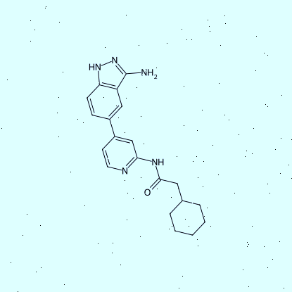 Nc1n[nH]c2ccc(-c3ccnc(NC(=O)CC4CCCCC4)c3)cc12